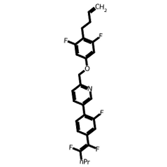 C=CCCc1c(F)cc(OCc2ccc(-c3ccc(/C(F)=C(\F)CCC)cc3F)cn2)cc1F